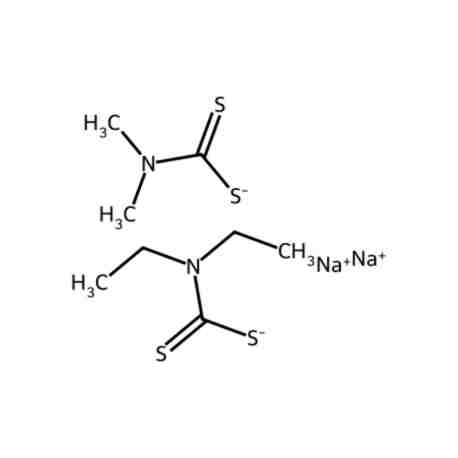 CCN(CC)C(=S)[S-].CN(C)C(=S)[S-].[Na+].[Na+]